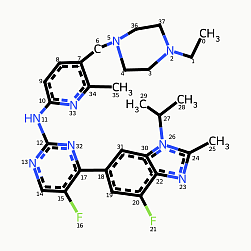 CCN1CCN(Cc2ccc(Nc3ncc(F)c(-c4cc(F)c5nc(C)n(C(C)C)c5c4)n3)nc2C)CC1